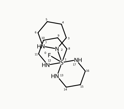 FS12(N3CCCCN3)(CCCCN1)NCCCN2